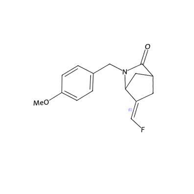 COc1ccc(CN2C(=O)C3C/C(=C\F)C2C3)cc1